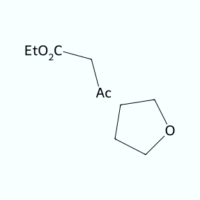 C1CCOC1.CCOC(=O)CC(C)=O